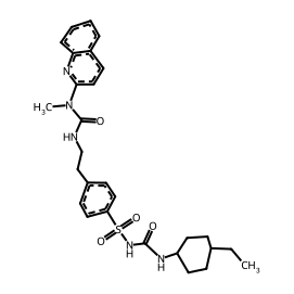 CCC1CCC(NC(=O)NS(=O)(=O)c2ccc(CCNC(=O)N(C)c3ccc4ccccc4n3)cc2)CC1